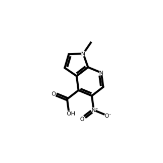 Cn1ccc2c(C(=O)O)c([N+](=O)[O-])cnc21